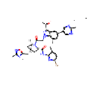 CC(=O)c1nn(CC(=O)N2[C@H](C(=O)Nc3nc(Br)ccc3C)C[C@@]3(Cc4nc(C)no4)C[C@@H]23)c2c(C)cc(-c3cnc(C)nc3)cc12